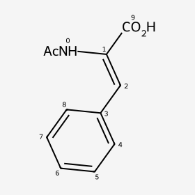 CC(=O)N/C(=C\c1ccccc1)C(=O)O